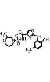 Cc1ccc(C(F)(F)F)cc1Nc1nc(C(=O)NS(=O)(=O)N2CCCOC(C)C2)co1